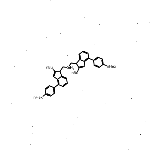 CCCCCCc1ccc(-c2cccc3c2C=C(CCCC)C3C[SiH2]CC2C(CCCC)=Cc3c(-c4ccc(CCCCCC)cc4)cccc32)cc1